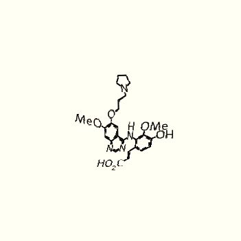 COc1cc2ncnc(Nc3c(/C=C/C(=O)O)ccc(O)c3OC)c2cc1OCCCN1CCCC1